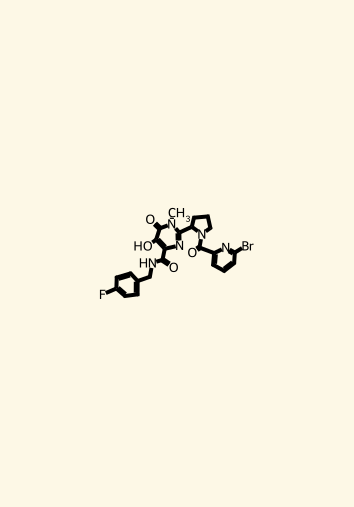 Cn1c(C2CCCN2C(=O)c2cccc(Br)n2)nc(C(=O)NCc2ccc(F)cc2)c(O)c1=O